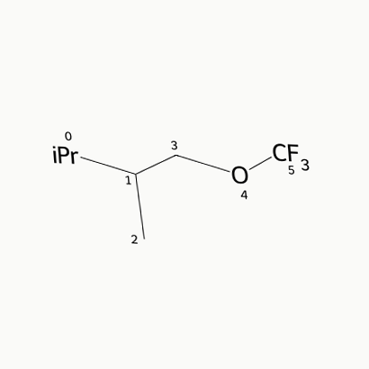 CC(C)C(C)COC(F)(F)F